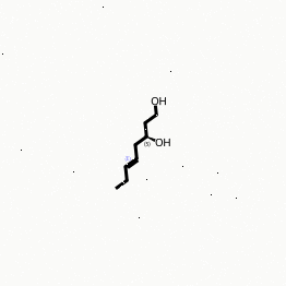 CC/C=C/C[C@H](O)CCO